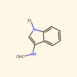 CCn1cc(NC=O)c2ccccc21